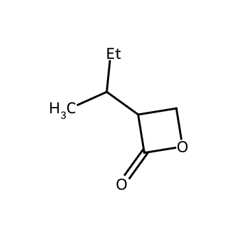 CCC(C)C1COC1=O